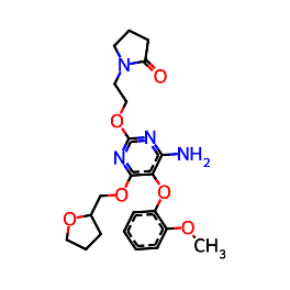 COc1ccccc1Oc1c(N)nc(OCCN2CCCC2=O)nc1OCC1CCCO1